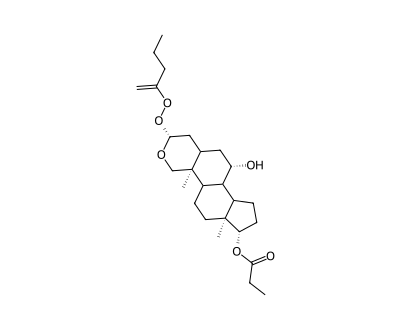 C=C(CCC)OO[C@@H]1CC2C[C@H](O)C3C(CC[C@@]4(C)C3CC[C@@H]4OC(=O)CC)[C@@]2(C)CO1